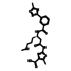 CNCCC[C@@H](CC(=O)Nc1nc(C)c(C(=O)O)s1)NC(=O)c1cccc(-c2noc(C)n2)c1